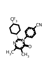 Cc1nc([C@H]2CC[C@@H](C(F)(F)F)CC2)n(-c2ccc(C#N)cc2)c(=O)c1C